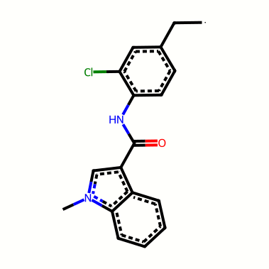 [CH2]Cc1ccc(NC(=O)c2cn(C)c3ccccc23)c(Cl)c1